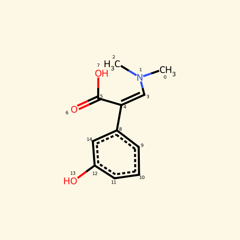 CN(C)/C=C(\C(=O)O)c1cccc(O)c1